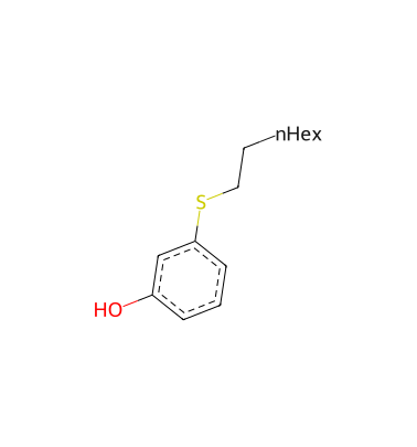 CCCCCCCCSc1cccc(O)c1